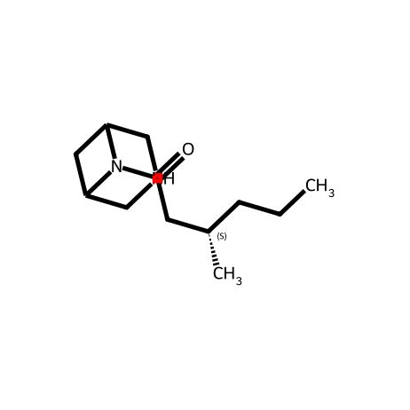 CCC[C@H](C)CC(=O)N1C2CNCC1C2